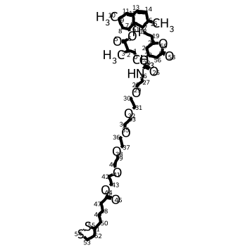 CCC(C)C(=O)OC1CC(C)C=C2C=CC(C)[C@H](CCC3CC(OC(=O)NCCOCCOCCOCCOCCOCCOC(=O)CCCCC4CCSS4)CC(=O)O3)[C@@H]21